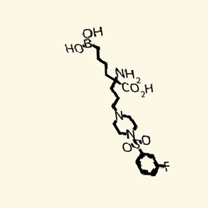 NC(CCCCB(O)O)(CCCN1CCN(S(=O)(=O)c2cccc(F)c2)CC1)C(=O)O